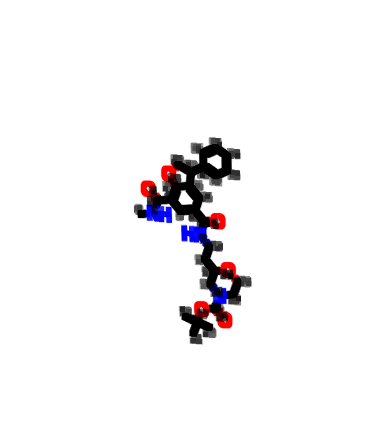 CNC(=O)c1cc(C(=O)NCCC2CN(C(=O)OC(C)(C)C)CCO2)cc2c1OCC2c1ccccc1